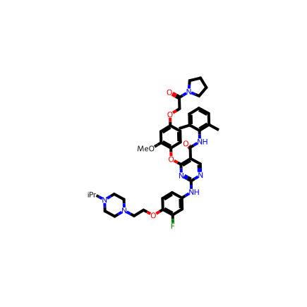 COc1cc(OCC(=O)N2CCCC2)ccc1Oc1nc(Nc2ccc(OCCN3CCN(C(C)C)CC3)c(F)c2)ncc1C(=O)Nc1c(C)cccc1C